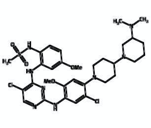 COc1ccc(NS(C)(=O)=O)c(Nc2nc(Nc3cc(Cl)c(N4CCC(N5CCCC(N(C)C)C5)CC4)cc3OC)ncc2Cl)c1